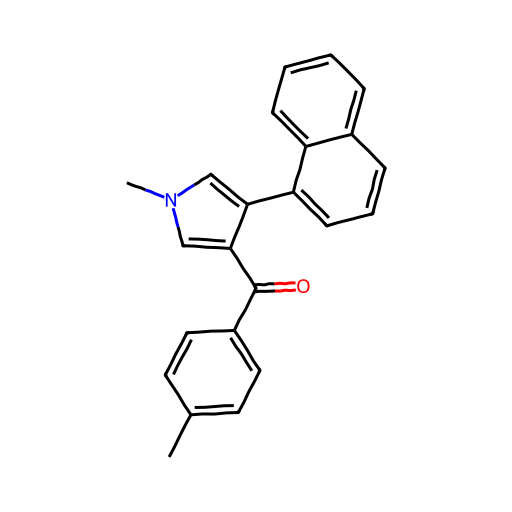 Cc1ccc(C(=O)c2cn(C)cc2-c2cccc3ccccc23)cc1